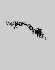 CO/N=C(/c1ccc(OCCCOc2ccc(/C(=N/OS(=O)(=O)C(F)(F)C(F)(F)C(F)(F)C(F)(F)F)C(F)(F)F)cc2)cc1)C(F)(F)F